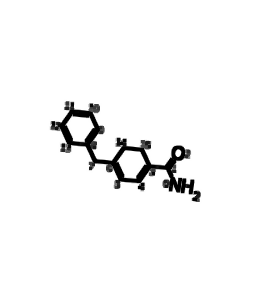 NC(=O)C1=CC=C(Cc2ccccc2)CC1